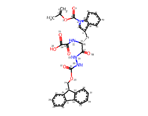 C=C(C)OC(=O)n1cc(C[C@@H](NC(=O)C(=O)O)C(=O)NNC(=O)OCC2c3ccccc3-c3ccccc32)c2ccccc21